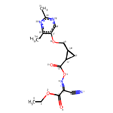 CCOC(=O)/C(C#N)=N/OC(=O)C1CC1COc1cnc(C)nc1C